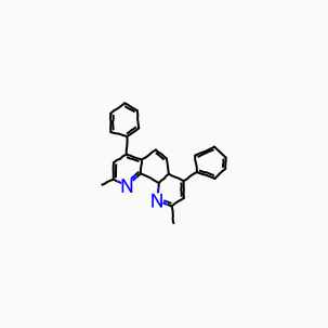 CC1=NC2c3nc(C)cc(-c4ccccc4)c3C=CC2C(c2ccccc2)=C1